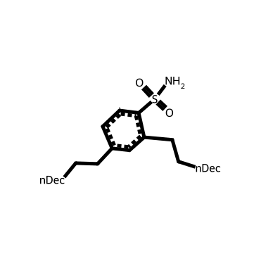 CCCCCCCCCCCCc1c[c]c(S(N)(=O)=O)c(CCCCCCCCCCCC)c1